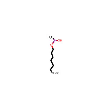 CCCCCCCCCCCCOP(C)O